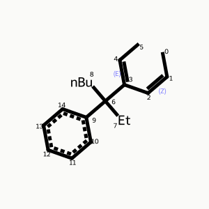 C/C=C\C(=C/C)C(CC)(CCCC)c1ccccc1